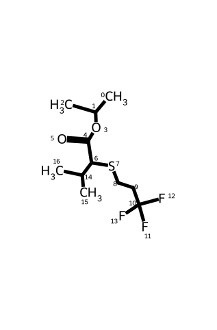 CC(C)OC(=O)C(SCCC(F)(F)F)C(C)C